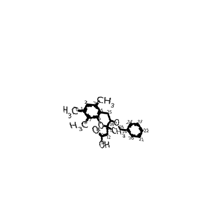 Cc1cc(C)c2c(c1C)OC(C)(CC(=O)O)C(OCc1ccccc1)C2